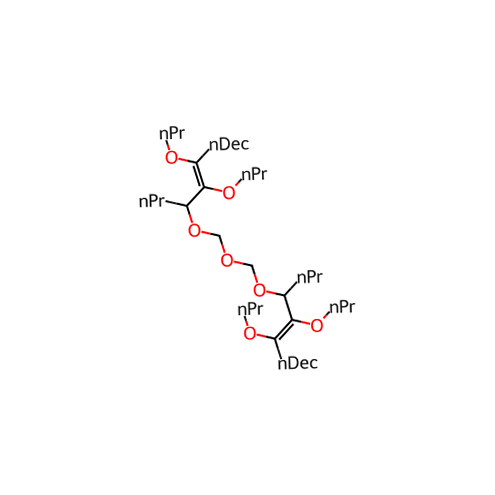 CCCCCCCCCCC(OCCC)=C(OCCC)C(CCC)OCOCOC(CCC)C(OCCC)=C(CCCCCCCCCC)OCCC